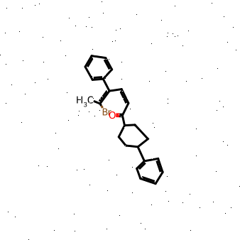 C/C(Br)=C(/C=C\C(=O)C1CCC(c2ccccc2)CC1)c1ccccc1